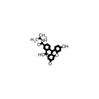 CC(C)NC(=O)c1ccc(-c2c3ccc(=O)cc-3oc3cc(O)ccc23)c(C(=O)O)c1